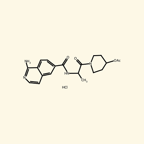 CC(=O)OC1CCN(C(=O)C(C)NC(=O)c2ccc3c(N)nccc3c2)CC1.Cl